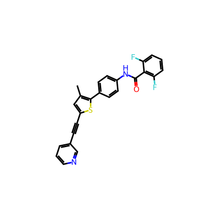 Cc1cc(C#Cc2cccnc2)sc1-c1ccc(NC(=O)c2c(F)cccc2F)cc1